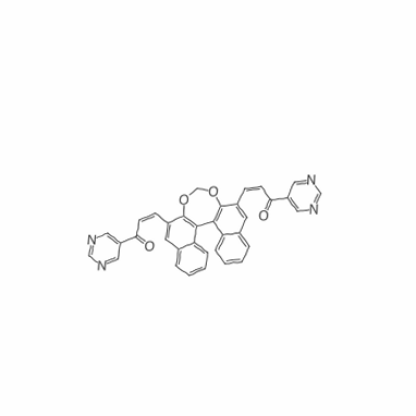 O=C(/C=C\c1cc2ccccc2c2c1OCOc1c(/C=C\C(=O)c3cncnc3)cc3ccccc3c1-2)c1cncnc1